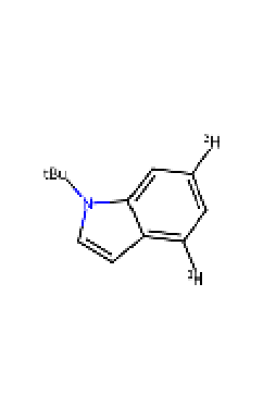 [3H]c1cc([3H])c2ccn(C(C)(C)C)c2c1